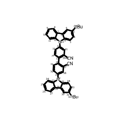 CC(C)(C)c1ccc2c(c1)c1ccccc1n2-c1ccc(-c2ccc(-n3c4ccccc4c4cc(C(C)(C)C)ccc43)cc2C#N)c(C#N)c1